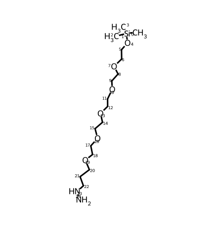 C[Si](C)(C)OCCOCCOCCOCCOCCOCCCNN